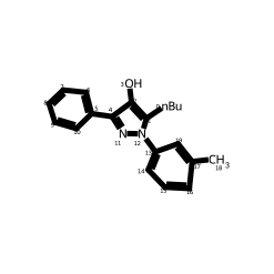 CCCCc1c(O)c(-c2ccccc2)nn1-c1cccc(C)c1